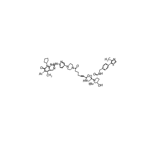 CC(=O)c1c(C)c2cnc(Nc3ccc(N4CCN(C(=O)CCCC#CC(=O)N[C@H](C(=O)N5C[C@H](O)C[C@H]5C(=O)NCc5ccc(-c6scnc6C)cc5)C(C)(C)C)CC4)cn3)nc2n(C2CCCC2)c1=O